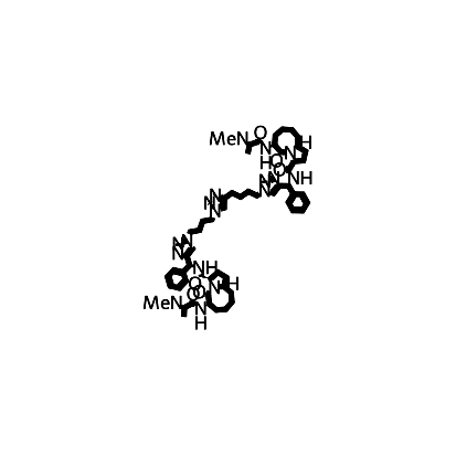 CN[C@@H](C)C(=O)N[C@H]1CCCC[C@H]2CCC(C(=O)N[C@@H](c3ccccc3)c3cn(CCCCc4cn(CCCCn5cc([C@@H](NC(=O)[C@@H]6CC[C@@H]7CCCC[C@H](NC(=O)[C@H](C)NC)C(=O)N76)c6ccccc6)nn5)nn4)nn3)N2C1=O